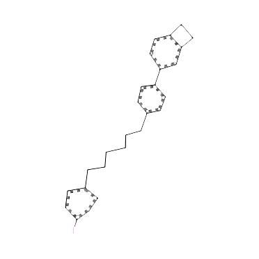 Ic1ccc(CCCCCCc2ccc(-c3ccc4c(c3)CC4)cc2)cc1